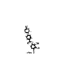 CCCCCOc1ccc(OC(=O)c2ccc([C@H]3CC[C@H](CC)CC3)cc2)c(C#N)c1C#N